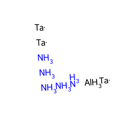 N.N.N.N.N.[AlH3].[Ta].[Ta].[Ta]